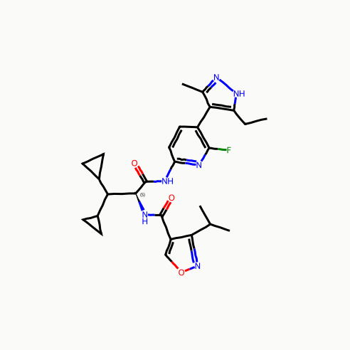 CCc1[nH]nc(C)c1-c1ccc(NC(=O)[C@@H](NC(=O)c2conc2C(C)C)C(C2CC2)C2CC2)nc1F